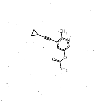 Cc1ncc(OC(N)=O)cc1C#CC1CC1